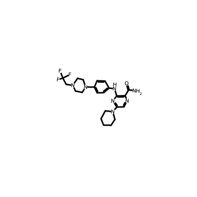 NC(=O)c1ncc(N2CCCCC2)nc1Nc1ccc(N2CCN(CC(F)(F)F)CC2)cc1